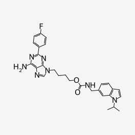 CC(C)n1ccc2ccc(CNC(=O)OCCCCn3cnc4c(N)nc(-c5ccc(F)cc5)nc43)cc21